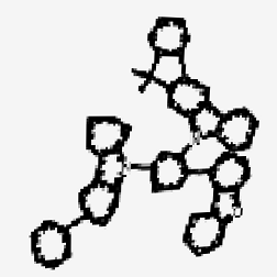 CC1(C)c2ccccc2-c2cc3c4ccccc4n(-c4cc(-n5c6ccccc6c6cc(-c7ccccc7)ccc65)ccc4-c4cccc5oc6ccccc6c45)c3cc21